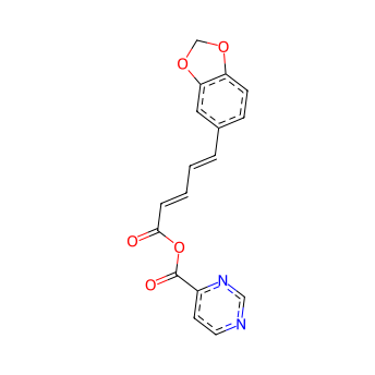 O=C(C=CC=Cc1ccc2c(c1)OCO2)OC(=O)c1ccncn1